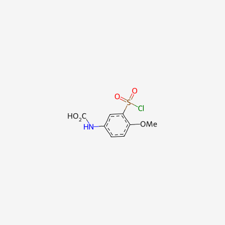 COc1ccc(NC(=O)O)cc1S(=O)(=O)Cl